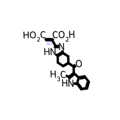 Cc1[nH]c2ccccc2c1C(=O)C1CCc2[nH]c(/C(=C/C(=O)O)C(=O)O)nc2C1